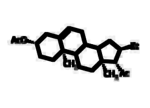 CC[C@@H]1CC2C3CC=C4C[C@@H](OC(C)=O)CC[C@]4(C)C3CC[C@]2(C)[C@H]1C(C)=O